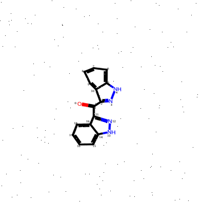 O=C(c1n[nH]c2ccccc12)c1n[nH]c2ccccc12